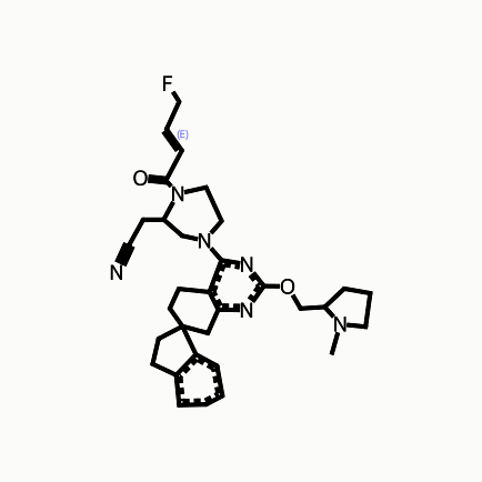 CN1CCCC1COc1nc2c(c(N3CCN(C(=O)/C=C/CF)C(CC#N)C3)n1)CCC1(CCc3ccccc31)C2